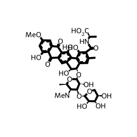 CN[C@@H]1[C@H](O[C@@H]2OC[C@@H](O)[C@H](O)[C@H]2O)[C@@H](O)[C@H](O[C@H]2c3cc(C)c(C(=O)N[C@H](C)C(=O)O)c(O)c3-c3c(cc4c(c3O)C(=O)c3cc(OC)cc(O)c3C4=O)[C@@H]2O)O[C@@H]1C